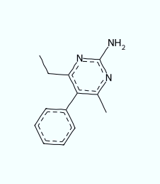 CCc1nc(N)nc(C)c1-c1ccccc1